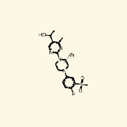 Cc1nc(N2CCN(c3ccc(F)c(S(C)(=O)=O)c3)C[C@H]2C(C)C)ncc1C(C)O